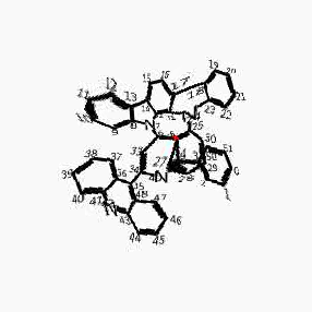 c1ccc(-c2cc(-n3c4ccccc4c4ccc5c6ccccc6n(-c6ccccc6)c5c43)cc(-c3c4ccccc4nc4ccccc34)n2)cc1